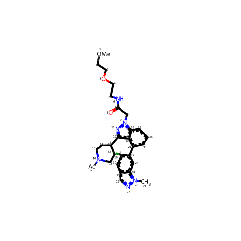 COCCOCCNC(=O)Cn1nc(C2CCN(C(C)=O)CC2)c2c(-c3cc4c(cnn4C)cc3F)cccc21